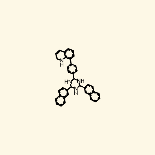 C1=Cc2cccc(-c3ccc(C4NC(c5ccc6ccccc6c5)NC(c5ccc6ccccc6c5)N4)cc3)c2NC1